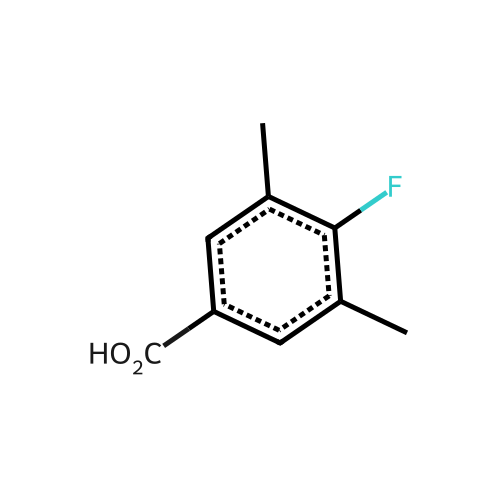 Cc1cc(C(=O)O)cc(C)c1F